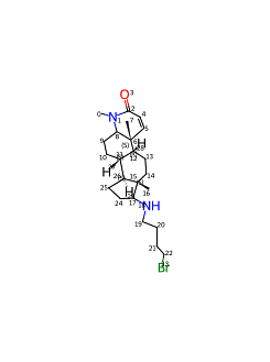 CN1C(=O)C=C[C@@]2(C)C1CC[C@@H]1[C@H]2CC[C@]2(C)C(NCCCCBr)CC[C@@H]12